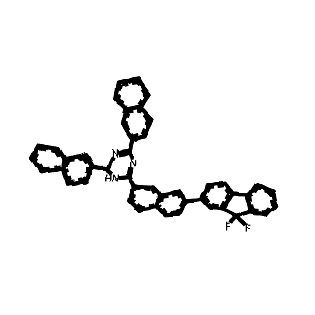 FC1(F)c2ccccc2-c2ccc(-c3ccc4ccc(C5=NC(c6ccc7ccccc7c6)=NC(c6ccc7ccccc7c6)N5)cc4c3)cc21